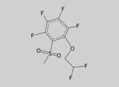 CS(=O)(=O)c1c(F)c(F)c(F)c(F)c1OCC(F)F